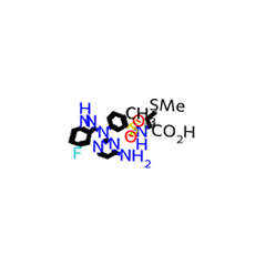 CSCC[C@H](NS(=O)(=O)c1cc(N(c2nccc(N)n2)c2n[nH]c3ccc(F)cc23)ccc1C)C(=O)O